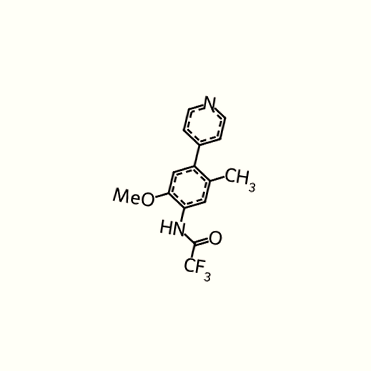 COc1cc(-c2ccncc2)c(C)cc1NC(=O)C(F)(F)F